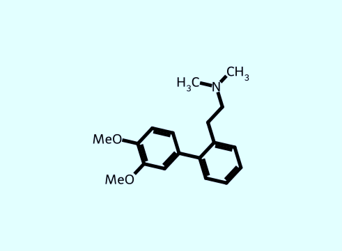 COc1ccc(-c2ccccc2CCN(C)C)cc1OC